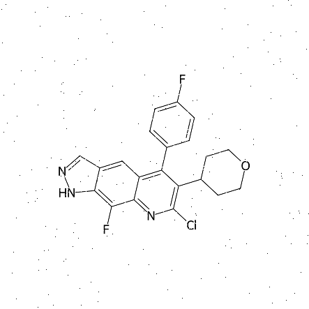 Fc1ccc(-c2c(C3CCOCC3)c(Cl)nc3c(F)c4[nH]ncc4cc23)cc1